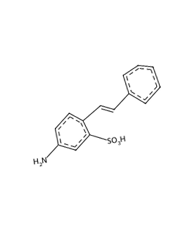 Nc1ccc(C=Cc2ccccc2)c(S(=O)(=O)O)c1